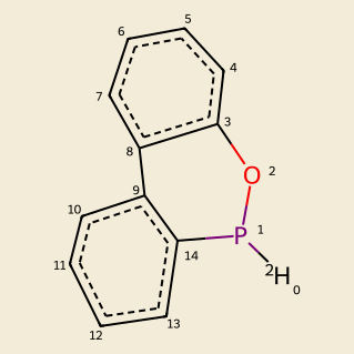 [2H]P1Oc2ccccc2-c2ccccc21